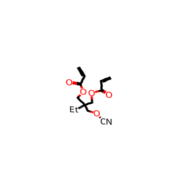 C=CC(=O)OCC(CC)(COC#N)COC(=O)C=C